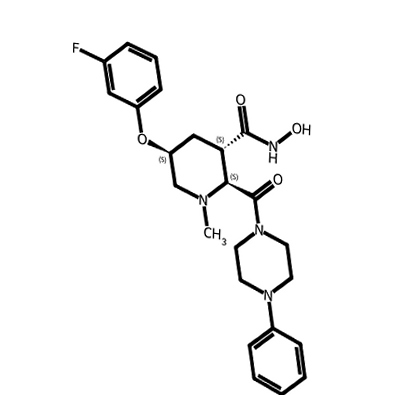 CN1C[C@@H](Oc2cccc(F)c2)C[C@H](C(=O)NO)[C@H]1C(=O)N1CCN(c2ccccc2)CC1